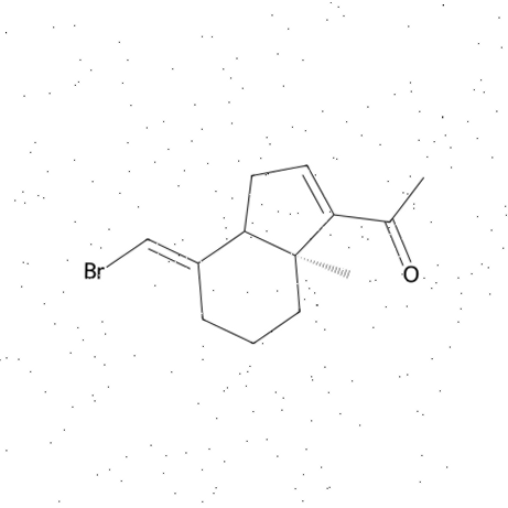 CC(=O)C1=CCC2/C(=C/Br)CCC[C@]12C